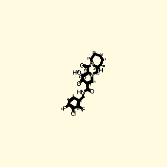 O=C(NCc1ccc(F)c(Cl)c1F)c1cn2c(c(O)c1=O)C(=O)N1CCCCC[C@H]1C2